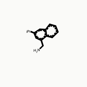 CC(C)c1cc(CN)c2ccccc2c1